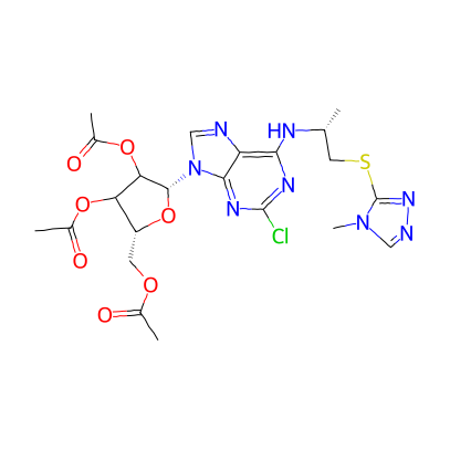 CC(=O)OC[C@H]1O[C@@H](n2cnc3c(N[C@H](C)CSc4nncn4C)nc(Cl)nc32)C(OC(C)=O)C1OC(C)=O